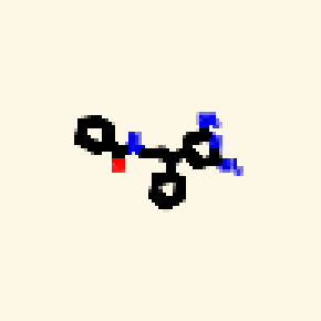 Nc1cc(C(=CCNC(=O)c2ccccc2)c2ccccc2)cc(N)n1